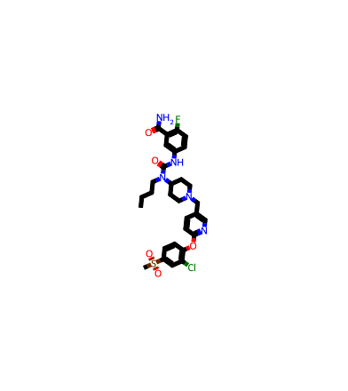 CCCCN(C(=O)Nc1ccc(F)c(C(N)=O)c1)C1CCN(Cc2ccc(Oc3ccc(S(C)(=O)=O)cc3Cl)nc2)CC1